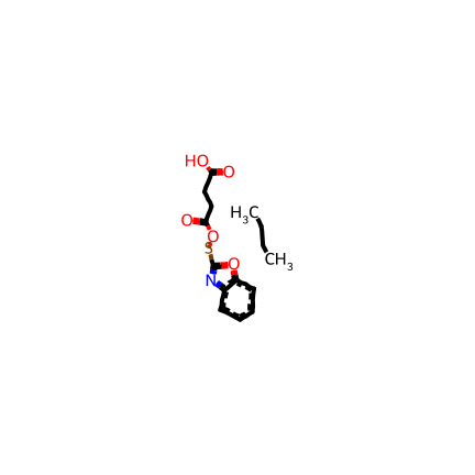 CCCC.O=C(O)CCC(=O)OSc1nc2ccccc2o1